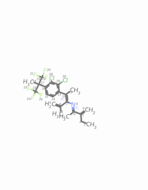 C=C(CC)/C(C)=N/C(C(=C)C)=C(\C)c1ccc(C(C)(C(F)(F)F)C(F)(F)F)c(Cl)c1Cl